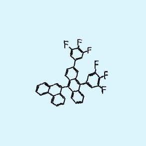 Fc1cc(-c2ccc3c(-c4cc5ccccc5c5ccccc45)c4ccccc4c(-c4cc(F)c(F)c(F)c4)c3c2)cc(F)c1F